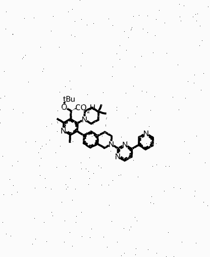 Cc1nc(C)c([C@H](OC(C)(C)C)C(=O)O)c(N2CCC(C)(C)CC2)c1-c1ccc2c(c1)CCN(c1nccc(-c3cccnc3)n1)C2